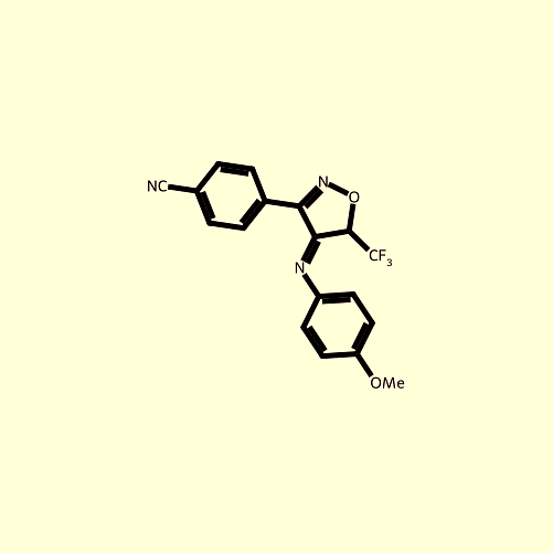 COc1ccc(N=C2C(c3ccc(C#N)cc3)=NOC2C(F)(F)F)cc1